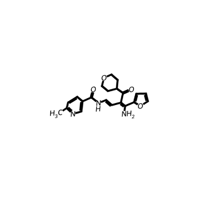 Cc1ccc(C(=O)N/C=C/C(C(=O)C2CCOCC2)=C(\N)c2ccco2)cn1